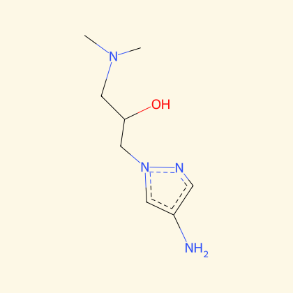 CN(C)CC(O)Cn1cc(N)cn1